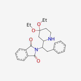 CCOC1(OCC)CCNC(C(Cc2ccccc2)N2C(=O)c3ccccc3C2=O)C1